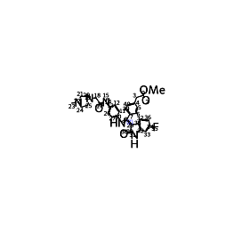 COC(=O)Cc1ccc(/C(Nc2ccc(N(C)C(=O)CN3CCN(C)CC3)cc2)=C2/C(=O)Nc3cc(F)ccc32)cc1